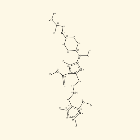 CCN(c1sc(CCNCc2c(C)cc(C)nc2OC)c(C(=O)OC)c1C)C1CCC(N2CC(OC)C2)CC1